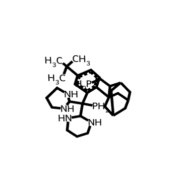 CC(C)(C)c1ccc(C23CC4CC(CC(C4)C2CP)C3)c(C(P)(C2NCCCN2)C2NCCCN2)c1